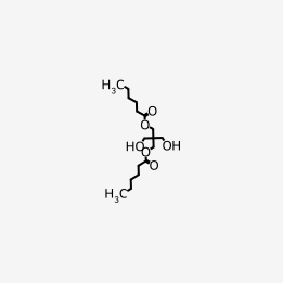 CCCCCC(=O)OCC(CO)(CO)COC(=O)CCCCC